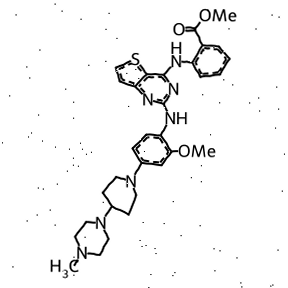 COC(=O)c1ccccc1Nc1nc(Nc2ccc(N3CCC(N4CCN(C)CC4)CC3)cc2OC)nc2ccsc12